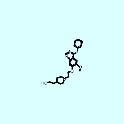 COc1cc2c(Sc3ccccc3)ncnc2cc1OCCN1CCC(CCO)CC1